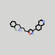 N[C@H](CCc1cc(-c2ccc3cnccc3c2)no1)Cc1ccccc1Cl